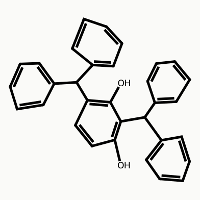 Oc1ccc(C(c2ccccc2)c2ccccc2)c(O)c1C(c1ccccc1)c1ccccc1